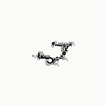 CC[C@H](O)[C@@H](C)[C@H]1O[C@@H]1CC(C)(O)/C=C/C=C(\C)C1OC(=O)CC(O)CCC(C)(OC(C)=O)C(OC(=O)N2CCN(CCN(C)C(=O)Oc3ccc(NC(=O)C(CCCNC(N)=O)NC(=O)C(NC(=O)CCCCCN4C(=O)C=CC4=O)C(C)C)cc3)CC2)C=CC1C